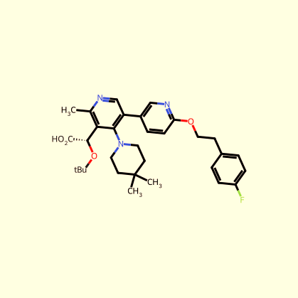 Cc1ncc(-c2ccc(OCCc3ccc(F)cc3)nc2)c(N2CCC(C)(C)CC2)c1[C@H](OC(C)(C)C)C(=O)O